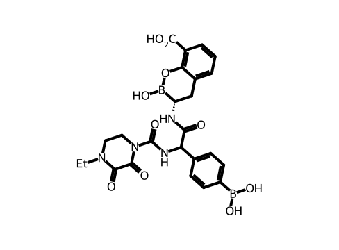 CCN1CCN(C(=O)NC(C(=O)N[C@H]2Cc3cccc(C(=O)O)c3OB2O)c2ccc(B(O)O)cc2)C(=O)C1=O